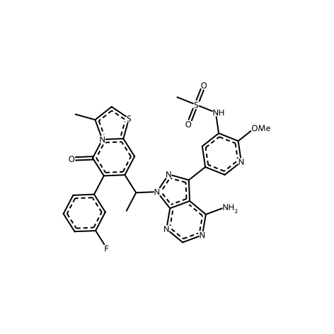 COc1ncc(-c2nn(C(C)c3cc4scc(C)n4c(=O)c3-c3cccc(F)c3)c3ncnc(N)c23)cc1NS(C)(=O)=O